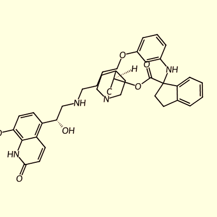 O=C(O[C@H]1CN2CCC1CC2)C1(Nc2cccc(OCCCCNC[C@H](O)c3ccc(O)c4[nH]c(=O)ccc34)c2)CCc2ccccc21